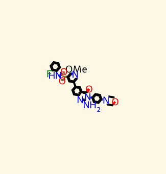 COc1ncc(-c2ccc3nc(N)n(-c4ccc(N5CCOCC5)cc4)c(=O)c3c2)cc1S(=O)(=O)Nc1ccccc1F